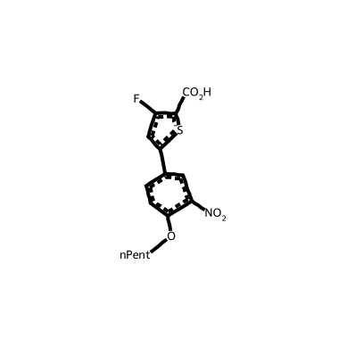 CCCCCOc1ccc(-c2cc(F)c(C(=O)O)s2)cc1[N+](=O)[O-]